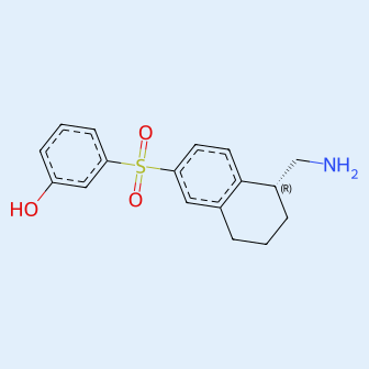 NC[C@@H]1CCCc2cc(S(=O)(=O)c3cccc(O)c3)ccc21